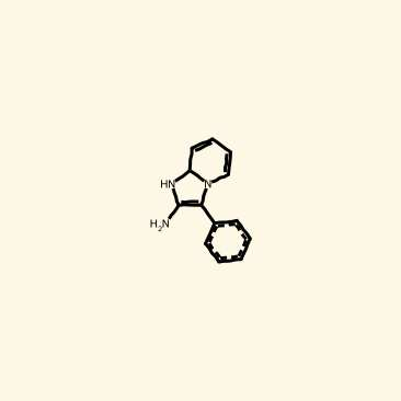 NC1=C(c2ccccc2)N2C=CC=CC2N1